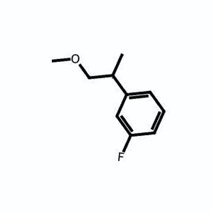 COC[C](C)c1cccc(F)c1